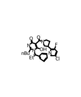 CCCCc1nc(=O)c(C(=O)N2CCC(c3ncc(Cl)cc3F)C2)c(O)n1[C@H](CC)c1ccccc1